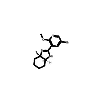 COc1ncc(Br)cc1C1=N[C@H]2CCCC[C@@H]2N1